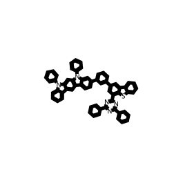 c1ccc(-c2nc(-c3ccccc3)nc(-c3cc(-c4cccc(-c5ccc6c7cc8c9ccccc9n(-c9ccccc9)c8cc7n(-c7ccccc7)c6c5)c4)cc4c3sc3ccccc34)n2)cc1